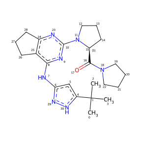 CC(C)(C)c1cc(Nc2nc(N3CCC[C@H]3C(=O)N3CCCC3)nc3c2CCC3)n[nH]1